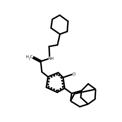 C=C(Cc1ccc(C2C3CC4CC(C3)CC2C4)c(Cl)c1)NCCC1CCCCC1